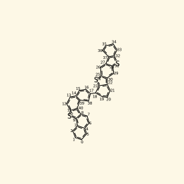 c1ccc2c(c1)ccc1c2sc2ccc3ccc(-c4cccc5c4sc4cc6c(cc45)sc4ccccc46)cc3c21